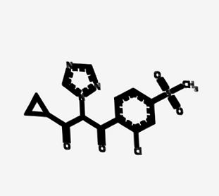 CS(=O)(=O)c1ccc(C(=O)C(C(=O)C2CC2)n2cncn2)c(Cl)c1